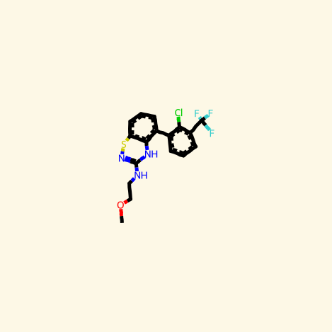 COCCNC1=NSc2cccc(-c3cccc(C(F)(F)F)c3Cl)c2N1